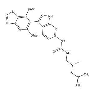 COc1nc2ncsc2c(OC)c1-c1c[nH]c2nc(NC(=O)NC[C@H](F)CN(C)C)ccc12